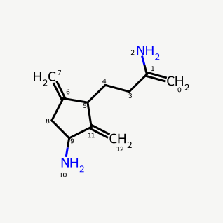 C=C(N)CCC1C(=C)CC(N)C1=C